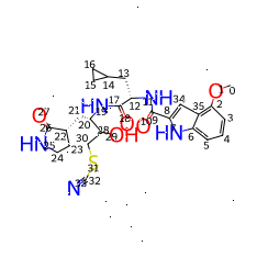 COc1cccc2[nH]c(C(=O)N[C@@H](CC3CC3)C(=O)N[C@@H](C[C@@H]3CCNC3=O)C(O)CSC#N)cc12